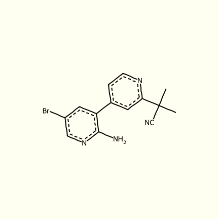 CC(C)(C#N)c1cc(-c2cc(Br)cnc2N)ccn1